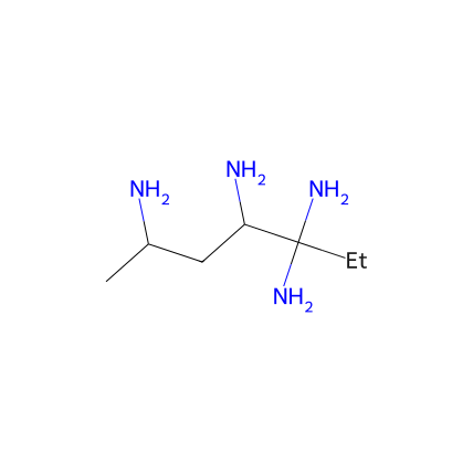 CCC(N)(N)C(N)CC(C)N